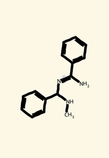 CNC(/N=C(\N)c1ccccc1)c1ccccc1